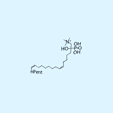 CCCCC/C=C\CCCCCC/C=C\CCCCC(O)(C[N+](C)(C)C)P(=O)(O)O